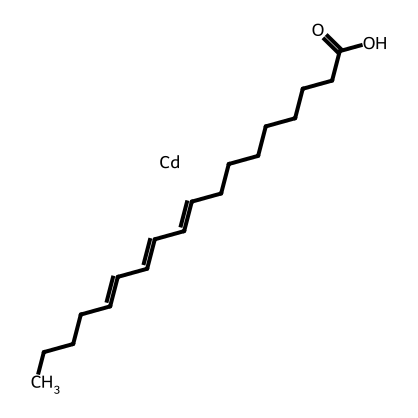 CCCCC=CC=CC=CCCCCCCCC(=O)O.[Cd]